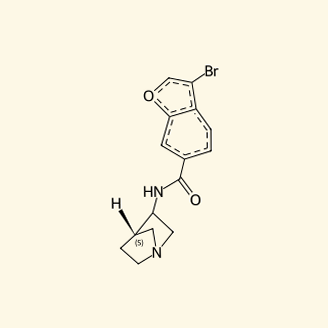 O=C(NC1CN2CC[C@H]1C2)c1ccc2c(Br)coc2c1